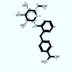 CC(O)c1ccc(Cc2ccccc2O[C@H]2S[C@@H](CO)[C@@H](O)[C@H](O)[C@H]2O)cc1